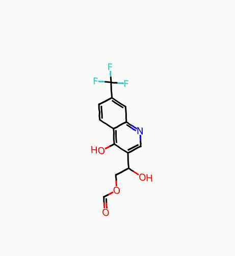 O=COCC(O)c1cnc2cc(C(F)(F)F)ccc2c1O